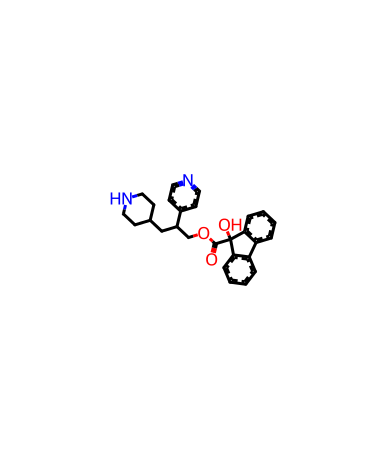 O=C(OCC(CC1CCNCC1)c1ccncc1)C1(O)c2ccccc2-c2ccccc21